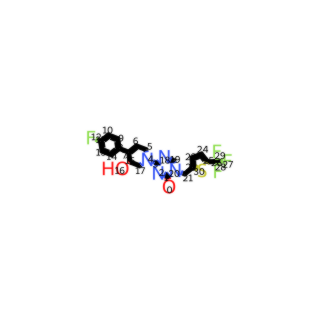 O=c1nc(N2CC=C(c3ccc(F)cc3)C(O)C2)ncn1Cc1ccc(C(F)(F)F)s1